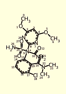 COc1cc(OC)nc([N+](C(N)=O)(c2cccc(Cl)c2C(=O)N(C)C)S(N)(=O)=O)n1